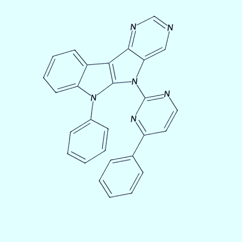 c1ccc(-c2ccnc(-n3c4cncnc4c4c5ccccc5n(-c5ccccc5)c43)n2)cc1